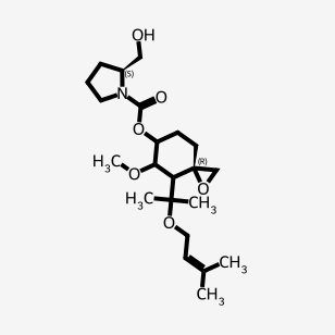 COC1C(OC(=O)N2CCC[C@H]2CO)CC[C@]2(CO2)C1C(C)(C)OCC=C(C)C